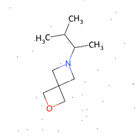 CC(C)C(C)N1CC2(COC2)C1